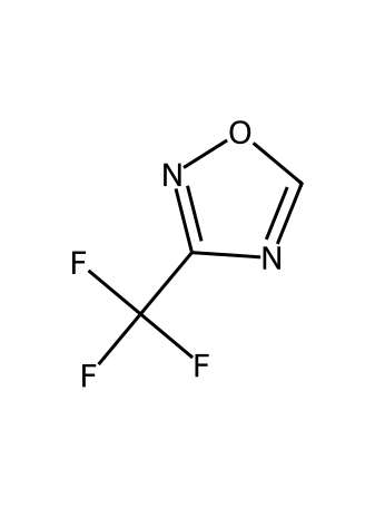 FC(F)(F)c1ncon1